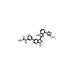 CCCC(=O)Nc1cncc(-c2cnc3[nH]nc(-c4nc5c(-n6cnc(C)c6)nccc5[nH]4)c3c2)c1